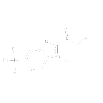 Cn1c(C(=O)CBr)nc2cc(C(F)(F)F)ncc21